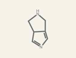 C1=NC=C2CNCC12